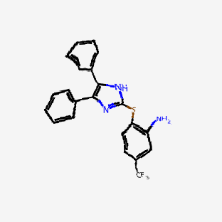 Nc1cc(C(F)(F)F)ccc1Sc1nc(-c2ccccc2)c(-c2ccccc2)[nH]1